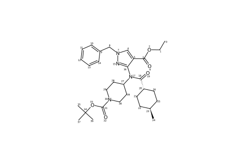 CCOC(=O)c1cn(Cc2ccccc2)nc1N(C(=O)[C@H]1CC[C@H](C)CC1)C1CCN(C(=O)OC(C)(C)C)CC1